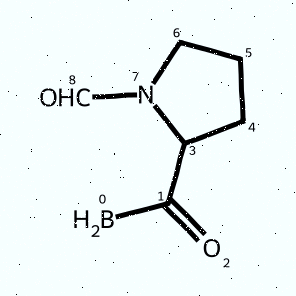 BC(=O)C1CCCN1C=O